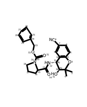 CC1(C)Oc2ccc(C#N)cc2[C@@H](NC(=O)C2CCCN2C(=O)OCc2ccccc2)[C@@H]1O